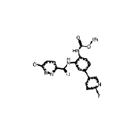 CC(C)(C)OC(=O)Nc1ccc(-c2ccc(F)nc2)cc1NC(=O)c1ccc(Cl)nn1